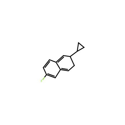 Fc1ccc2c(c1)=CCC(C1CC1)C=2